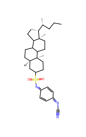 CCC[C@@H](C)[C@H]1CCC2C3CC[C@@H]4CC(S(=O)(=O)N=C5C=CC(=NC#N)C=C5)CC[C@]4(C)C3CC[C@@]21C